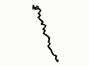 CCC=CCC=CCC=CCCCCCCCCCCOC(C)=O